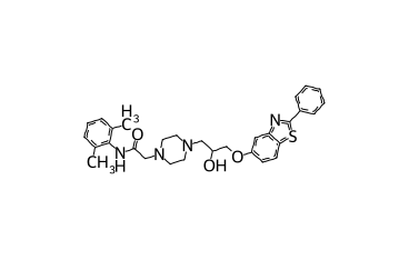 Cc1cccc(C)c1NC(=O)CN1CCN(CC(O)COc2ccc3sc(-c4ccccc4)nc3c2)CC1